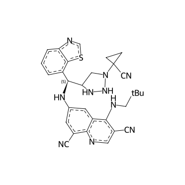 CC(C)(C)CNc1c(C#N)cnc2c(C#N)cc(N[C@@H](c3cccc4ncsc34)C3CN(C4(C#N)CC4)NN3)cc12